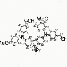 C=Cc1ccc(N(c2ccc(OC)cc2)c2ccc3c(c2)c2cc(N(c4ccc(C=C)cc4)c4ccc(OC)cc4)ccc2n3C(C)C)cc1